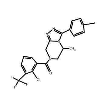 CC1CN(C(=O)c2cccc(C(F)(F)F)c2Cl)Cc2nnc(-c3ccc(F)cc3)n21